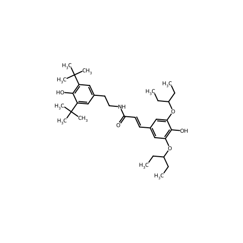 CCC(CC)Oc1cc(C=CC(=O)NCCc2cc(C(C)(C)C)c(O)c(C(C)(C)C)c2)cc(OC(CC)CC)c1O